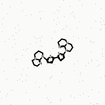 c1cc(N2CCCN3CCCN=C32)sc1-c1ccc(N2CCCN3CCCN=C32)s1